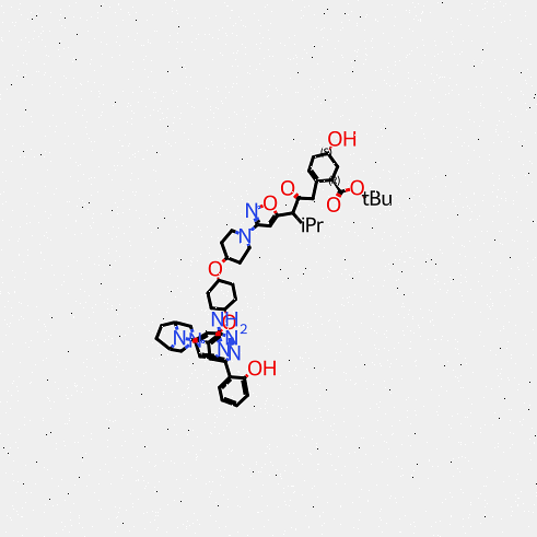 CC(C)C(C(=O)CC1=CC[C@H](O)C[C@H]1C(=O)OC(C)(C)C)c1cc(N2CCC(O[C@H]3CC[C@@H](Oc4cc(N5C6CCC5CN(c5cc(-c7ccccc7O)nnc5N)C6)ccn4)CC3)CC2)no1